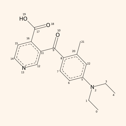 CCN(CC)c1ccc(C(=O)c2cnccc2C(=O)O)c(C)c1